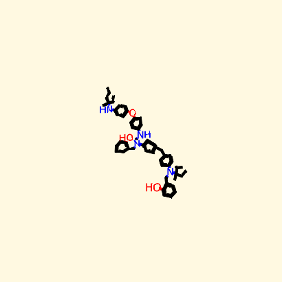 CCCC(C)(CC)Nc1ccc(Oc2ccc(NCN(Cc3ccccc3O)c3ccc(Cc4ccc(N(Cc5ccccc5O)C(C)(CC)CC)cc4)cc3)cc2)cc1